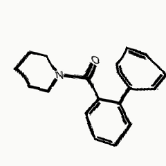 O=C(c1ccccc1-c1[c]cccc1)N1CCCCC1